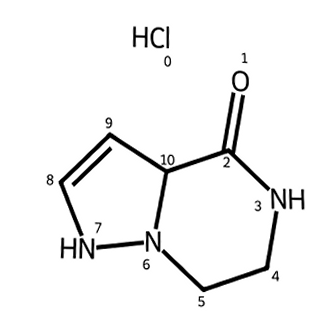 Cl.O=C1NCCN2NC=CC12